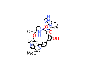 CCn1c(-c2cnccc2COC)c2c3cc(ccc31)-c1cc(O)cc(c1)C[C@H](NC(=O)[C@H](C(C)C)N(C)C(=O)c1ncc[nH]1)C(=O)N1CCCC(C=O)(COCC(C)(C)C2)N1